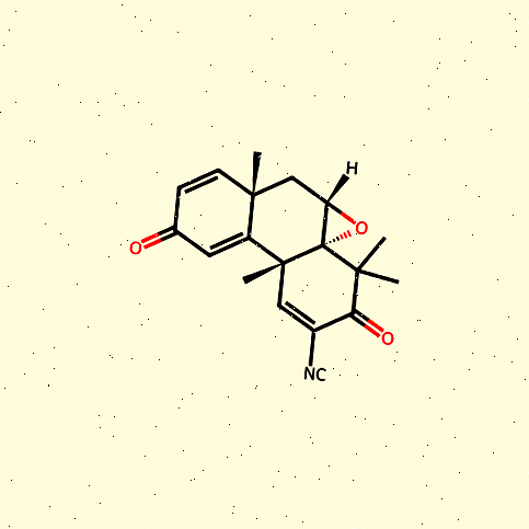 [C-]#[N+]C1=C[C@]2(C)C3=CC(=O)C=C[C@]3(C)C[C@@H]3O[C@@]32C(C)(C)C1=O